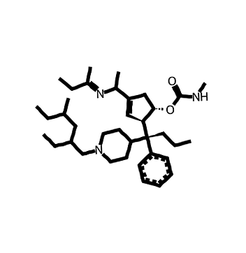 CCC[C@@](c1ccccc1)(C1CCN(CC(CC)CC(C)CC)CC1)[C@H]1C=C(C(C)/N=C(\C)CC)C[C@@H]1OC(=O)NC